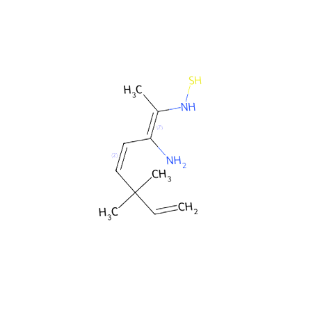 C=CC(C)(C)/C=C\C(N)=C(/C)NS